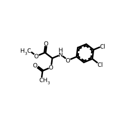 COC(=O)C(NOc1ccc(Cl)c(Cl)c1)OC(C)=O